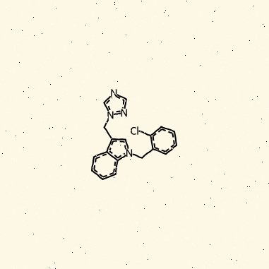 Clc1ccccc1Cn1cc(Cn2cncn2)c2ccccc21